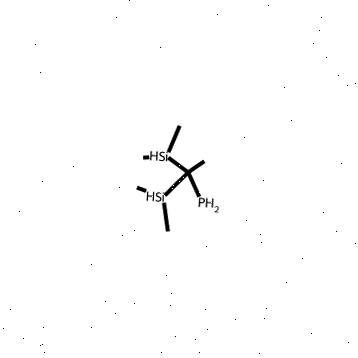 C[SiH](C)C(C)(P)[SiH](C)C